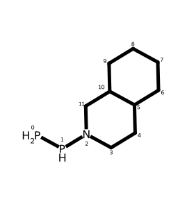 PPN1CCC2CCCCC2C1